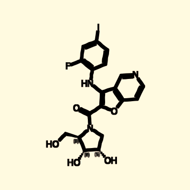 O=C(c1oc2ccncc2c1Nc1ccc(I)cc1F)N1C[C@H](O)[C@H](O)[C@H]1CO